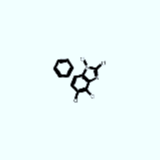 Clc1ccc2c(nc(Cl)n2Cl)c1Cl.c1ccccc1